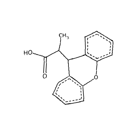 CC(C(=O)O)C1c2ccccc2Oc2ccccc21